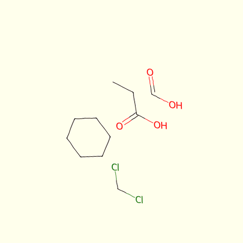 C1CCCCC1.CCC(=O)O.ClCCl.O=CO